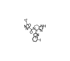 O=C(c1nnc(C2CC2)o1)N1CCc2[nH]cnc2[C@H]1c1cc2cccc(I)n2n1